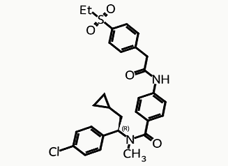 CCS(=O)(=O)c1ccc(CC(=O)Nc2ccc(C(=O)N(C)[C@H](CC3CC3)c3ccc(Cl)cc3)cc2)cc1